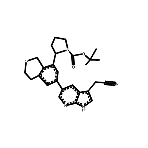 CC(C)(C)OC(=O)N1CCCC1c1cc(-c2cnc3[nH]cc(CC#N)c3c2)cc2c1COCC2